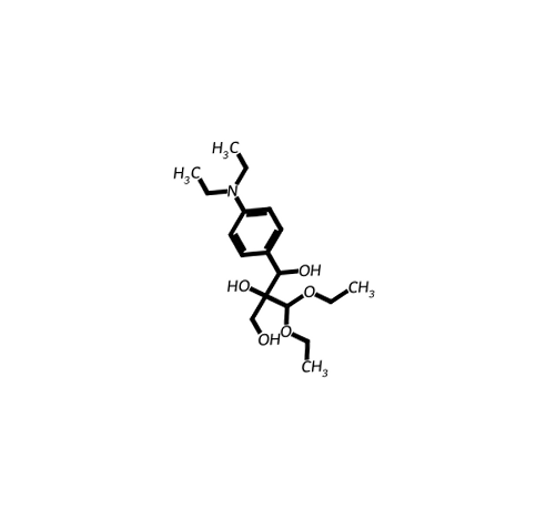 CCOC(OCC)C(O)(CO)C(O)c1ccc(N(CC)CC)cc1